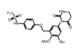 COc1c(COc2ccc(NS(C)(=O)=O)cc2)cc(N2C(=O)CCNC2=O)cc1C(C)(C)C